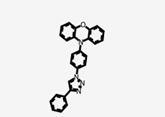 c1ccc(-c2cn(-c3ccc(N4c5ccccc5Oc5ccccc54)cc3)nn2)cc1